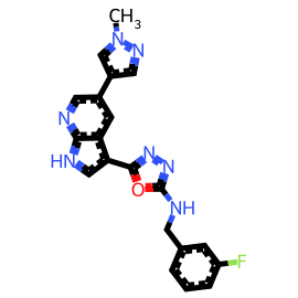 Cn1cc(-c2cnc3[nH]cc(-c4nnc(NCc5cccc(F)c5)o4)c3c2)cn1